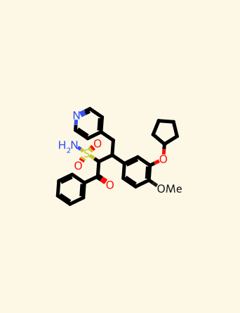 COc1ccc(C(Cc2ccncc2)C(C(=O)c2ccccc2)S(N)(=O)=O)cc1OC1CCCC1